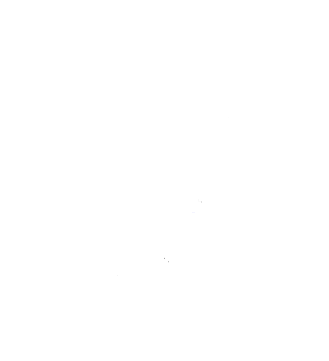 O=C(O)C1CC/C(=N\OCc2ccccc2)CN1